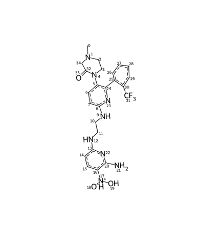 CN1CCN(c2ccc(NCCNc3ccc([NH+]([O-])O)c(N)n3)nc2-c2ccccc2C(F)(F)F)C(=O)C1